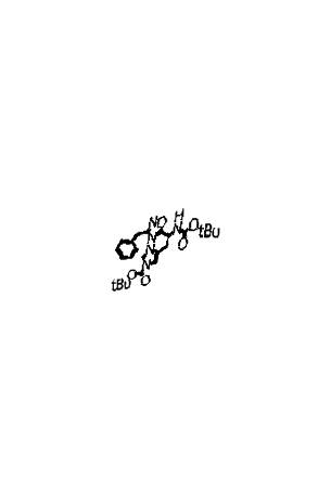 CC(C)(C)OC(=O)N[C@@H](Cc1cn(C(=O)OC(C)(C)C)cn1)c1nc(Cc2ccccc2)no1